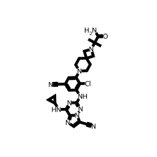 CC(C)(C(N)=O)N1CC2(CCN(c3cc(C#N)cc(Nc4nc(NC5CC5)c5ncc(C#N)n5n4)c3Cl)CC2)C1